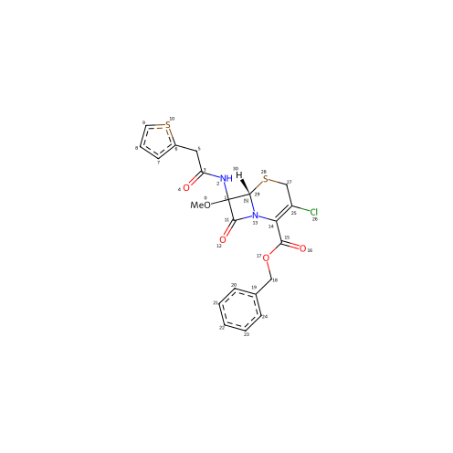 COC1(NC(=O)Cc2cccs2)C(=O)N2C(C(=O)OCc3ccccc3)=C(Cl)CS[C@H]21